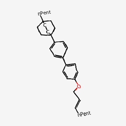 CCCCCC=CCOc1ccc(-c2ccc(C34CCC(CCCCC)(CC3)CC4)cc2)cc1